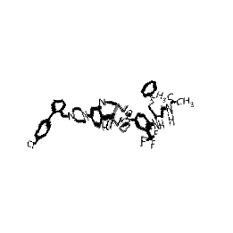 CC(C)NCC[C@H](CSc1ccccc1)Nc1ccc(S(=O)(=O)Nc2ncnc3cc(N4CCN(Cc5ccccc5-c5ccc(Cl)cc5)CC4)ccc23)cc1C(F)(F)F